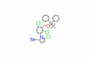 CC(C)(C)[Si](OCc1c(Cl)ccc(-n2c(Cl)ccc2C#N)c1Cl)(c1ccccc1)c1ccccc1